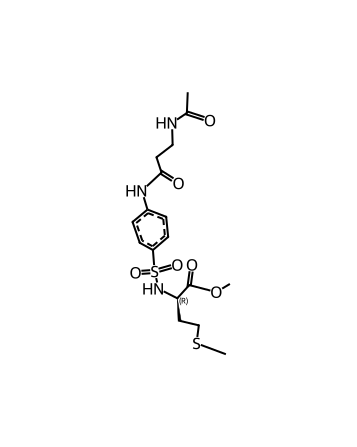 COC(=O)[C@@H](CCSC)NS(=O)(=O)c1ccc(NC(=O)CCNC(C)=O)cc1